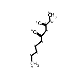 CCCCCC(=O)CC(=O)CC